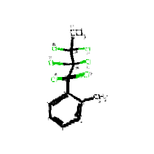 [CH2]c1ccccc1C(Cl)(Cl)C(Cl)(Cl)C(Cl)(Cl)C(Cl)(Cl)Cl